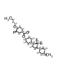 C=CCCOc1ccc(C(=O)Oc2ccc(-c3ccc(-c4ccc(C)cc4)c(F)c3F)cc2)cc1F